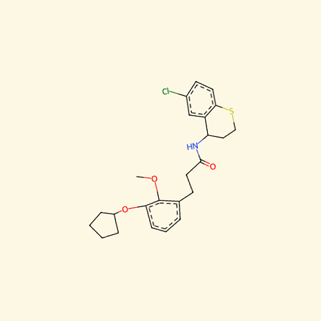 COc1c(CCC(=O)NC2CCSc3ccc(Cl)cc32)cccc1OC1CCCC1